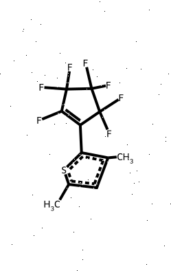 Cc1cc(C)c(C2=C(F)C(F)(F)C(F)(F)C2(F)F)s1